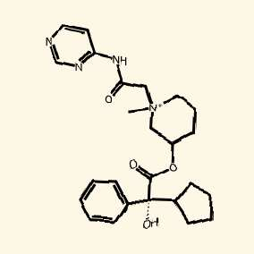 C[N+]1(CC(=O)Nc2ccncn2)CCCC(OC(=O)[C@](O)(c2ccccc2)C2CCCC2)C1